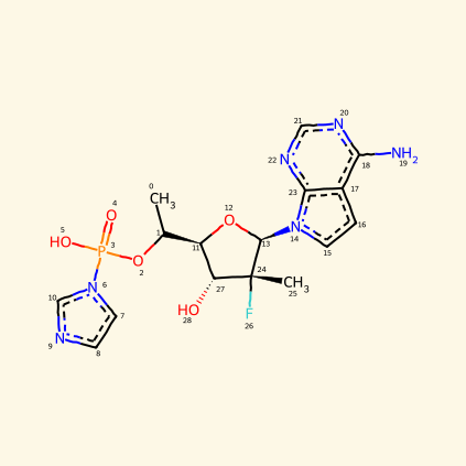 CC(OP(=O)(O)n1ccnc1)[C@H]1O[C@@H](n2ccc3c(N)ncnc32)[C@](C)(F)[C@@H]1O